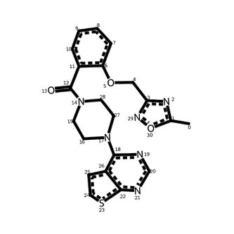 Cc1nc(COc2ccccc2C(=O)N2CCN(c3ncnc4sccc34)CC2)no1